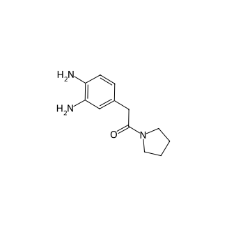 Nc1ccc(CC(=O)N2CCCC2)cc1N